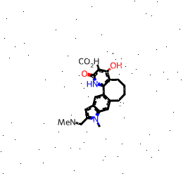 CNCc1cc2cc3c(cc2n1C)CCCCc1c-3[nH]c(=O)c(C(=O)O)c1O